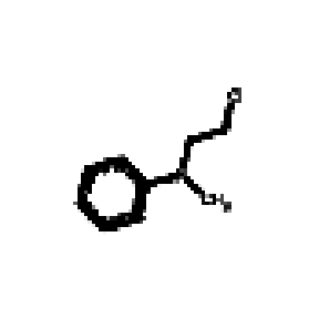 CN(CCCl)c1[c]cccc1